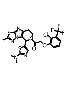 Cc1nn2c3c(nc2s1)CCN(C(=O)COc1cccc(C(F)(F)F)c1Cl)C3c1cnc(N(C)C)s1